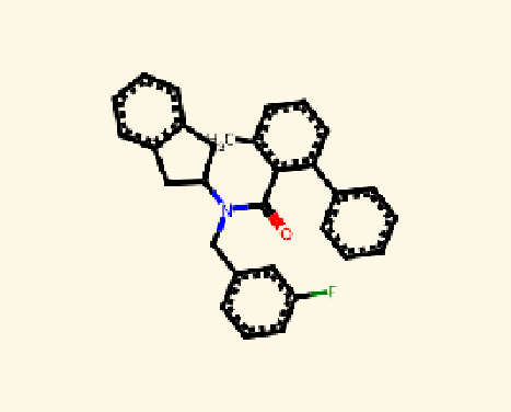 Cc1cccc(-c2ccccc2)c1C(=O)N(Cc1cccc(F)c1)C1Cc2ccccc2C1